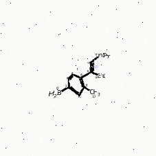 Bc1ccc(/C(=C/CCC)CC)c(C)c1